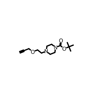 C#CCOCCN1CCN(C(=O)OC(C)(C)C)CC1